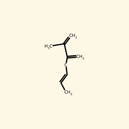 C=C(C)C(=C)CC=CC